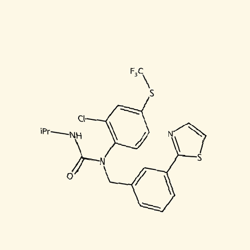 CC(C)NC(=O)N(Cc1cccc(-c2nccs2)c1)c1ccc(SC(F)(F)F)cc1Cl